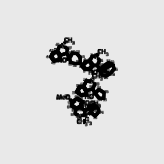 CN1Cc2ccccc2C(C2(O)C3CC4CC(C3)CC2C4)C1.CN1Cc2ccccc2C(C2(O)CCCC2)C1.CN1Cc2ccccc2C(C2(O)CCCCCC2)C1.COc1ccc2c(c1)CN(C)CC2C1(O)CC2CCC1(C)C2(C)C